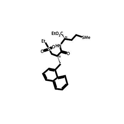 CCOC(=O)[C@H](CCSC)NC(=O)[C@H](Cc1cccc2ccccc12)CS(=O)(=O)CC